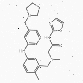 Cc1ccc(Nc2cccc(CN3CCCC3)c2)cc1CN(C)CC(=O)Nc1nccs1